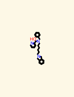 Oc1ccccc1CN(CCCCCCN1Cc2ccccc2C1)Cc1ccccn1